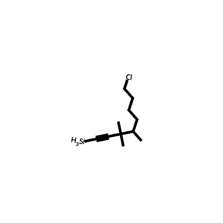 CC(CCCCCl)C(C)(C)C#C[SiH3]